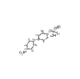 CCOP(O)(=S)Oc1ccc(-c2ccc([N+](=O)[O-])cc2)cc1